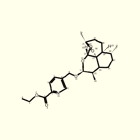 CCOC(=O)c1ccc(CO[C@H]2O[C@@H]3O[C@]4(C)CC[C@H]5[C@H](C)CCC([C@H]2C)[C@@]35OO4)cn1